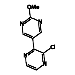 COc1ncc(-c2nccnc2Cl)cn1